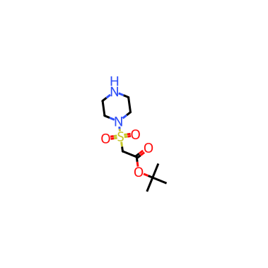 CC(C)(C)OC(=O)CS(=O)(=O)N1CCNCC1